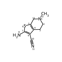 CN1CCc2c(sc(N)c2C#N)C1